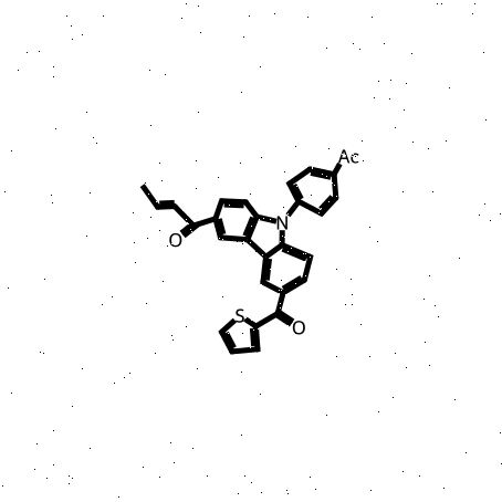 CC=CC(=O)c1ccc2c(c1)c1cc(C(=O)c3cccs3)ccc1n2-c1ccc(C(C)=O)cc1